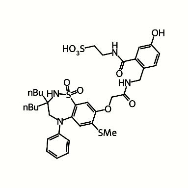 CCCCC1(CCCC)CN(c2ccccc2)c2cc(SC)c(OCC(=O)NCc3ccc(O)cc3C(=O)NCCS(=O)(=O)O)cc2S(=O)(=O)N1